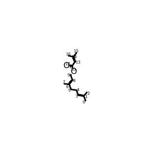 CC(C)=CCCC(C)=CCOC(=O)C=C(C)C